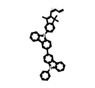 C=C/C=C\C1=C(C)c2cc(-n3c4ccccc4c4cc(-c5ccc6c(c5)c5ccccc5n6-c5ccccc5)ccc43)ccc2C1(C)C